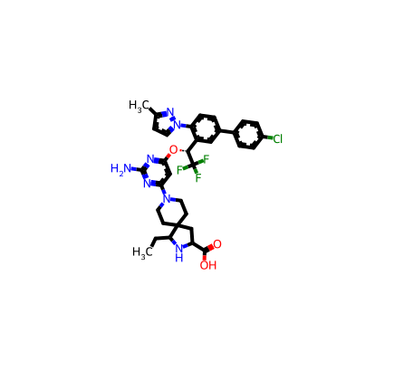 CCC1NC(C(=O)O)CC12CCN(c1cc(O[C@H](c3cc(-c4ccc(Cl)cc4)ccc3-n3ccc(C)n3)C(F)(F)F)nc(N)n1)CC2